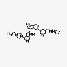 CN1CCN(c2cncc3[nH]c(-c4n[nH]c5ccc(-c6cncc(CNCC7CCCC7)c6)cc45)cc23)CC1